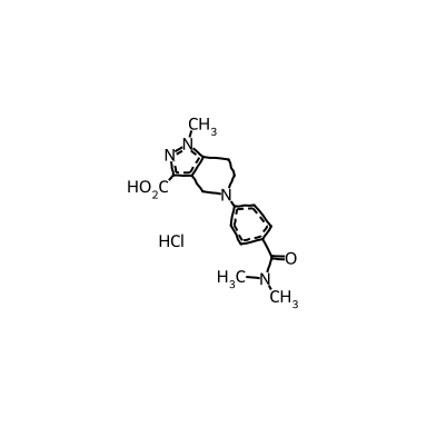 CN(C)C(=O)c1ccc(N2CCc3c(c(C(=O)O)nn3C)C2)cc1.Cl